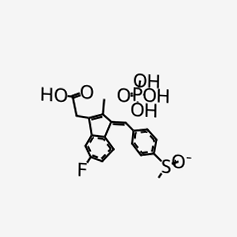 CC1=C(CC(=O)O)c2cc(F)ccc2/C1=C\c1ccc([S+](C)[O-])cc1.O=P(O)(O)O